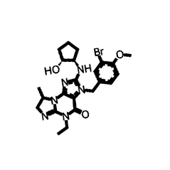 CCN1C(=O)c2c(nc(N[C@@H]3CCC[C@H]3O)n2Cc2ccc(OC)c(Br)c2)N2C1=NCC2C